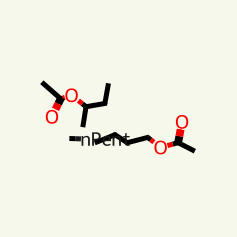 CCC(C)OC(C)=O.CCCCCC.CCCCOC(C)=O